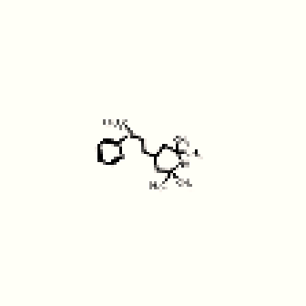 CCOC(=O)N(CCC1CC(C)(C)NC(C)(C)C1)c1ccccc1